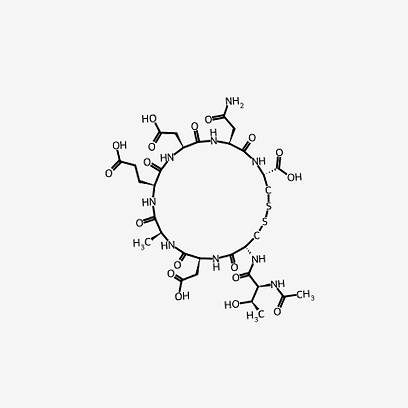 CC(=O)N[C@H](C(=O)N[C@H]1CSSC[C@@H](C(=O)O)NC(=O)[C@H](CC(N)=O)NC(=O)[C@H](CC(=O)O)NC(=O)[C@H](CCC(=O)O)NC(=O)[C@H](C)NC(=O)[C@H](CC(=O)O)NC1=O)[C@@H](C)O